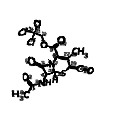 CC(=O)NC1C(=O)N2C(C(=O)OCC(Cl)(Cl)Cl)=C(C)C(=C=O)S[C@H]12